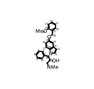 CNC[C@@H](O)[C@H](c1ccccc1)n1ccc2cc(OCc3ccccc3OC)ccc21